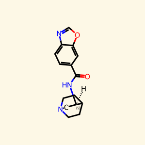 O=C(N[C@@H]1CN2CCC1CC2)c1ccc2ncoc2c1